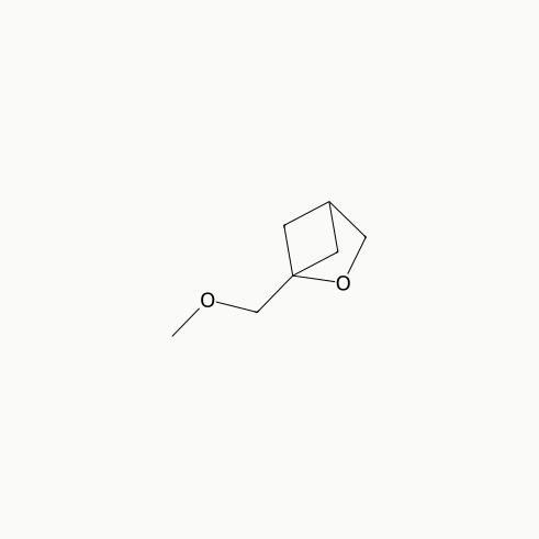 COCC12CC(CO1)C2